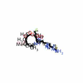 B[C@@H]1[C@@H](C)C(=O)[C@@H](C)C(=O)O[C@H](CCF)[C@@]2(C)OC(=O)N(CCCCn3cc(-c4nsc(N)n4)nn3)[C@@H]2[C@@H](C)NC[C@H](C)C[C@@]1(C)OC